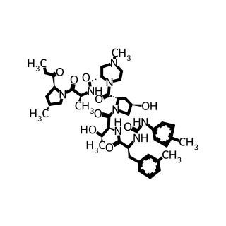 CCC(=O)[C@@H]1C[C@@H](C)CN1C(=O)[C@H](C)NC(=O)[C@@H]1CN(C)CCN1C(=O)[C@@H]1C[C@@H](O)CN1C(=O)[C@@H](NC(=O)[C@H](Cc1cccc(C)c1)NC(=O)Nc1ccc(C)cc1)[C@H](C)O